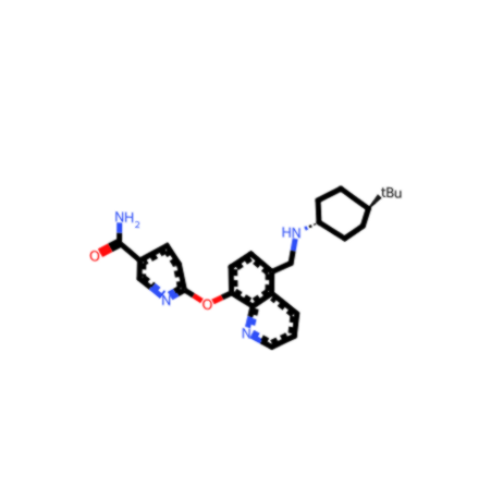 CC(C)(C)[C@H]1CC[C@H](NCc2ccc(Oc3ccc(C(N)=O)cn3)c3ncccc23)CC1